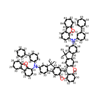 CC1(C)c2cc(N(c3cccc(-c4ccccc4)c3)c3cccc4c3oc3ccccc34)ccc2-c2cc3c(cc21)B1c2cc4c(cc2Oc2cccc(c21)O3)-c1ccc(N(c2cccc(-c3ccccc3)c2)c2cccc3c2oc2ccccc23)cc1C4(C)C